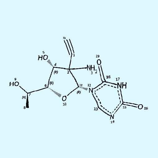 C#CC1(N)[C@@H](O)[C@@H]([C@@H](C)O)O[C@H]1n1cnc(=O)[nH]c1=O